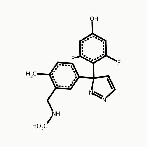 Cc1ccc(C2(c3c(F)cc(O)cc3F)C=CN=N2)cc1CNC(=O)O